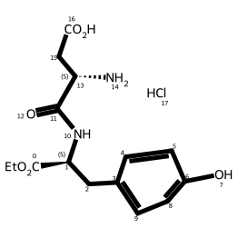 CCOC(=O)[C@H](Cc1ccc(O)cc1)NC(=O)[C@@H](N)CC(=O)O.Cl